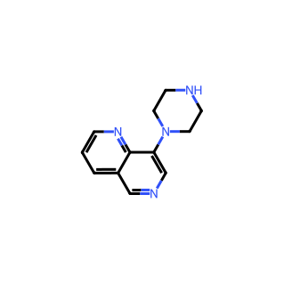 c1cnc2c(N3CCNCC3)cncc2c1